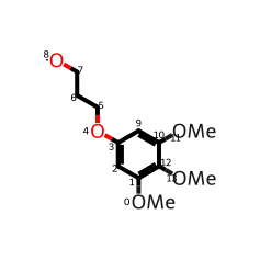 COc1cc(OCCC[O])cc(OC)c1OC